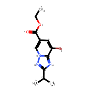 CCOC(=O)c1cc(Br)c2nc(C(C)C)nn2c1